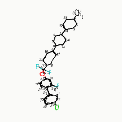 CC1CCC(C2CCC(C3CCC(C(F)(F)Oc4ccc(-c5ccc(Cl)cc5)c(F)c4)CC3)CC2)CC1